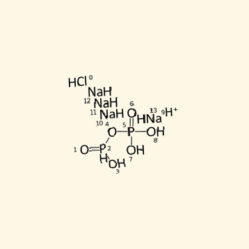 Cl.O=[PH](O)OP(=O)(O)O.[H+].[NaH].[NaH].[NaH].[NaH]